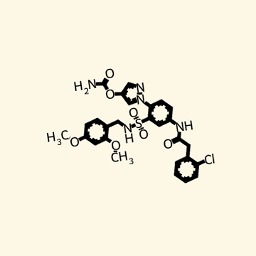 COc1ccc(CNS(=O)(=O)c2cc(NC(=O)Cc3ccccc3Cl)ccc2-n2cc(OC(N)=O)cn2)c(OC)c1